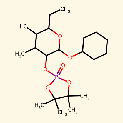 CCC1OC(OC2CCCCC2)C(OP2(=O)OC(C)(C)C(C)(C)O2)C(C)C1C